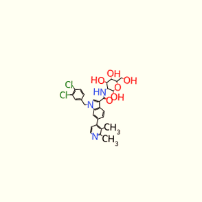 Cc1nccc(-c2ccc3c(C(=O)N[C@H]4C(O)OC(CO)[C@@H](O)[C@@H]4O)cn(Cc4ccc(Cl)c(Cl)c4)c3c2)c1C